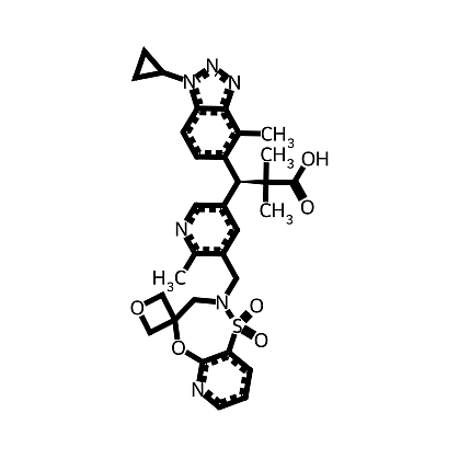 Cc1ncc([C@@H](c2ccc3c(nnn3C3CC3)c2C)C(C)(C)C(=O)O)cc1CN1CC2(COC2)Oc2ncccc2S1(=O)=O